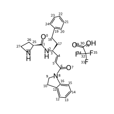 O=C(N[C@H](/C=C/C(=O)N1CCc2ccccc21)CCc1ccccc1)[C@@H]1CCN1.O=C(O)C(F)(F)F